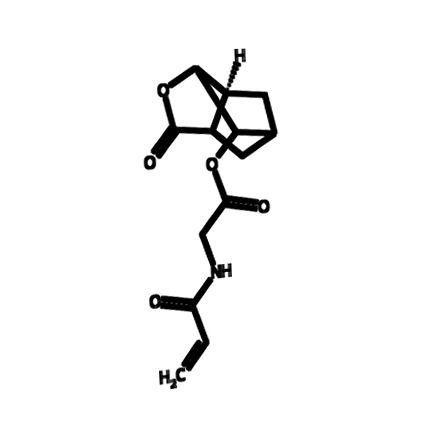 C=CC(=O)NCC(=O)OC1C2CC3C(=O)OC1[C@H]3C2